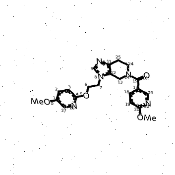 COc1ccc(OCCn2cnc3c2CN(C(=O)c2ccc(OC)nc2)CC3)nc1